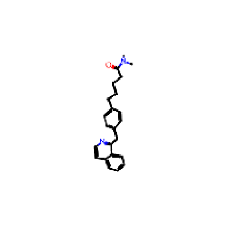 CN(C)C(=O)CCCCc1ccc(Cc2nccc3ccccc23)cc1